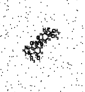 Cn1ccnc1C(=O)c1cc(Cl)ccc1NS(=O)(=O)c1ccc(C(C)(C)C)cc1